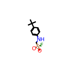 CC(C)(C)c1ccc(NCS(=O)(=O)F)cc1